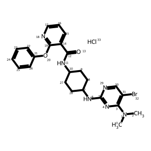 CN(C)c1nc(NC2CCC(NC(=O)c3cccnc3Oc3ccccc3)CC2)ncc1Br.Cl